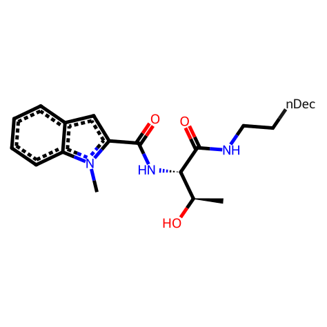 CCCCCCCCCCCCNC(=O)[C@@H](NC(=O)c1cc2ccccc2n1C)[C@@H](C)O